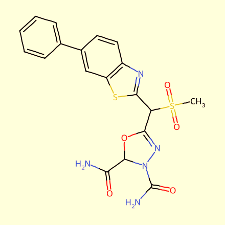 CS(=O)(=O)C(C1=NN(C(N)=O)C(C(N)=O)O1)c1nc2ccc(-c3ccccc3)cc2s1